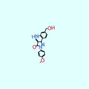 COc1ccc(-n2nc3c4ccc(CO)cc4[nH]cc-3c2=O)cc1